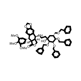 COc1cc([C@@H]2c3cc4c(cc3[C@@H](NCC[C@]3(O)C[C@H](COCc5ccccc5)[C@@H](OCc5ccccc5)[C@H](OCc5ccccc5)[C@H]3OCc3ccccc3)[C@H]3COC(=O)[C@H]23)OCO4)cc(OC)c1OC